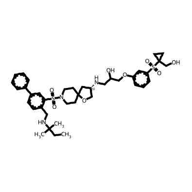 CCC(C)(C)NCc1ccc(-c2ccccc2)cc1S(=O)(=O)N1CCC2(CC1)C[C@H](NCC(O)COc1cccc(S(=O)(=O)C3(CO)CC3)c1)CO2